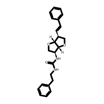 O=C(NCCc1ccccc1)N[C@H]1CO[C@H]2[C@@H]1OC[C@@H]2C=Cc1ccccc1